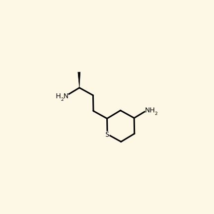 C[C@H](N)CCC1CC(N)CCS1